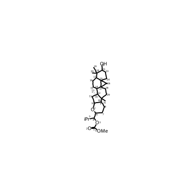 COC(=O)OC(C(C)C)C1CCC2C(C[C@@]3(C)C4CCC5C(C)(C)C(O)CCC56CC46CCC23C)O1